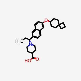 CCC(c1ccc2cc(OC3CCC4(CCC4)CC3)ccc2c1)N1CCC(C(=O)O)CC1